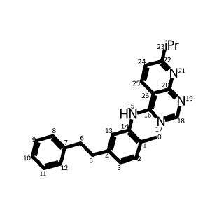 Cc1ccc(CCc2ccccc2)cc1Nc1ncnc2nc(C(C)C)ccc12